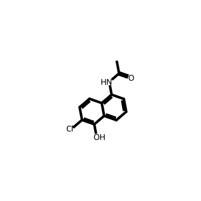 CC(=O)Nc1cccc2c(O)c(Cl)ccc12